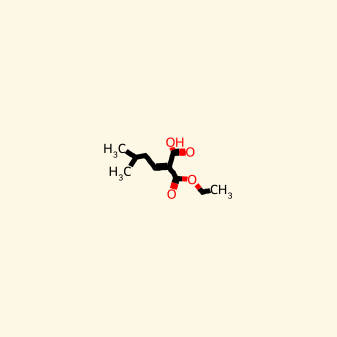 CCOC(=O)C(=CCC(C)C)C(=O)O